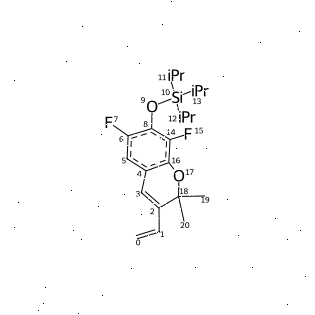 C=CC1=Cc2cc(F)c(O[Si](C(C)C)(C(C)C)C(C)C)c(F)c2OC1(C)C